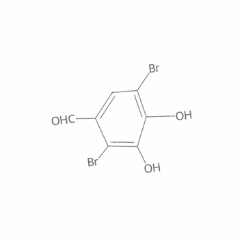 O=Cc1cc(Br)c(O)c(O)c1Br